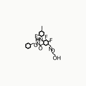 O=C(NOCc1ccccc1)c1cc(C=NOCCO)c(F)c(F)c1Nc1ccc(I)cc1F